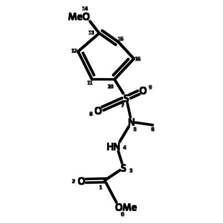 COC(=O)SNN(C)S(=O)(=O)c1ccc(OC)cc1